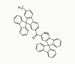 Cc1ccc2c(c1)C1(c3ccccc3-c3ccccc31)c1cc(C(=O)c3c#cc4c(c3)C3(c5ccccc5-4)c4ccccc4-c4ccccc43)ccc1-2